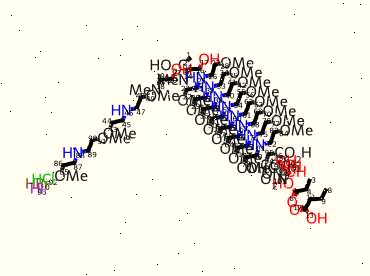 Br.CC(=O)O.CCC(=O)O.CCCC(=O)O.CNCCO.CNCCO.COCCNCCOC.COCCNCCOC.COCCNCCOC.COCCNCCOC.COCCNCCOC.COCCNCCOC.COCCNCCOC.COCCNCCOC.COCCNCCOC.COCCNCCOC.Cl.I.O=C(O)CC(=O)O.O=CO.O=NO.O=[N+]([O-])O